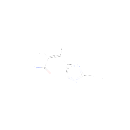 CC(C(N)=O)=C(C)c1c[nH]c(C)n1